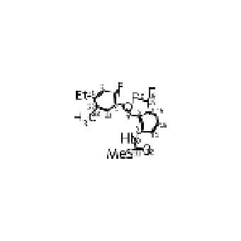 CCc1cc(F)c(OCc2c(NC(=O)SC)cccc2C(F)F)cc1C